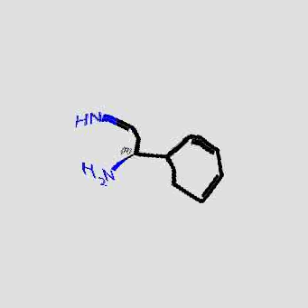 N=C[C@H](N)C1C=CC=CC1